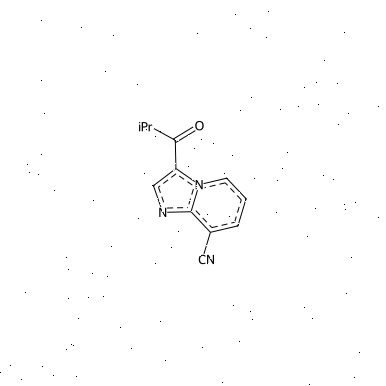 CC(C)C(=O)c1cnc2c(C#N)cccn12